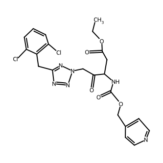 CCOC(=O)CC(NC(=O)OCc1ccncc1)C(=O)Cn1nnc(Cc2c(Cl)cccc2Cl)n1